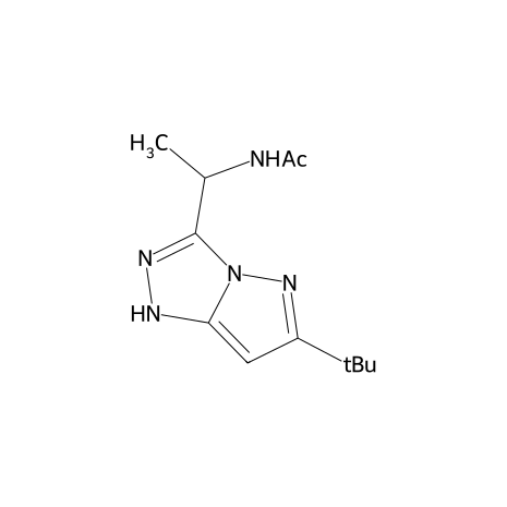 CC(=O)NC(C)c1n[nH]c2cc(C(C)(C)C)nn12